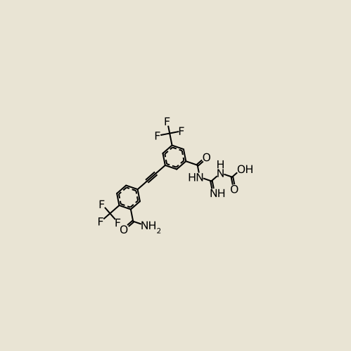 N=C(NC(=O)O)NC(=O)c1cc(C#Cc2ccc(C(F)(F)F)c(C(N)=O)c2)cc(C(F)(F)F)c1